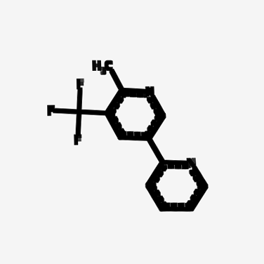 Cc1ncc(-c2ccccn2)cc1C(F)(F)F